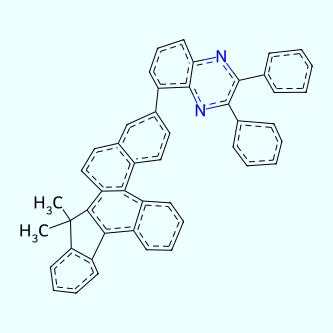 CC1(C)c2ccccc2-c2c1c1ccc3cc(-c4cccc5nc(-c6ccccc6)c(-c6ccccc6)nc45)ccc3c1c1ccccc21